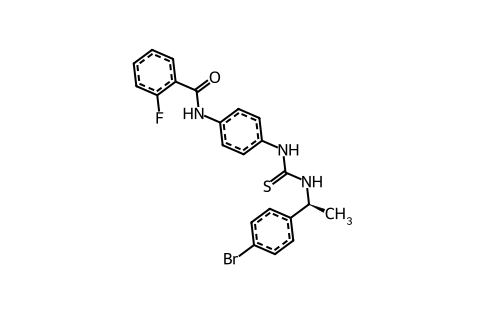 C[C@H](NC(=S)Nc1ccc(NC(=O)c2ccccc2F)cc1)c1ccc(Br)cc1